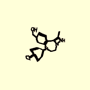 Cc1[nH]n2c1-c1ccc(CO)cc1N(c1ccc(Cl)cc1)CC2